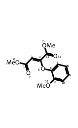 COC(=O)/C=C(\Oc1ccccc1OC)C(=O)OC